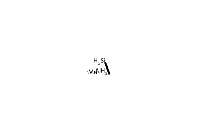 C[SiH3].[AlH3].[Mn]